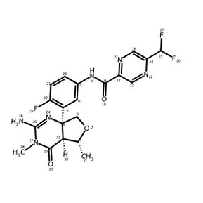 C[C@H]1OC[C@]2(c3cc(NC(=O)c4cnc(C(F)F)cn4)ccc3F)N=C(N)N(C)C(=O)[C@H]12